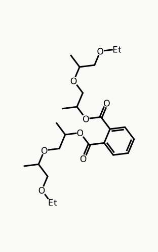 CCOCC(C)OCC(C)OC(=O)c1ccccc1C(=O)OC(C)COC(C)COCC